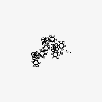 O=P([O-])(Oc1ccccc1)Oc1ccccc1.O=P([O-])(Oc1ccccc1)Oc1ccccc1.O=P([O-])(Oc1ccccc1)Oc1ccccc1.[Cr+3]